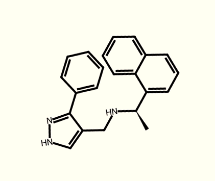 C[C@@H](NCc1c[nH]nc1-c1ccccc1)c1cccc2ccccc12